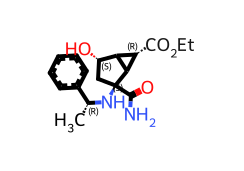 CCOC(=O)[C@H]1C2C1[C@](N[C@H](C)c1ccccc1)(C(N)=O)C[C@@H]2O